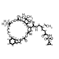 CC[C@H](CCC(=O)NS(=O)(=O)C1CC1)CNC(=O)C1C[C@@H]2CN1C(=O)[C@H](C(C)(C)C)NC(=O)OCC(C)(C)CCCCc1cccc3c1CN(C3)C(=O)O2